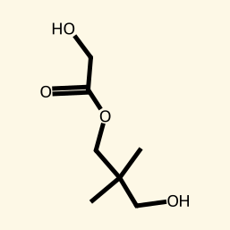 CC(C)(CO)COC(=O)CO